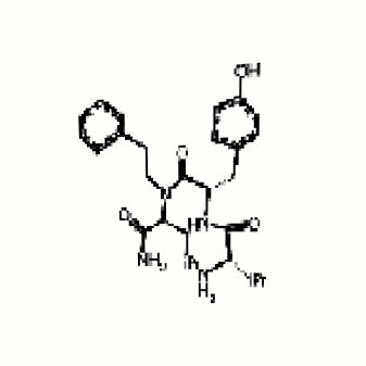 CC(C)C[C@@H](C(N)=O)N(CCc1ccccc1)C(=O)[C@H](Cc1ccc(O)cc1)NC(=O)[C@@H](N)C(C)C